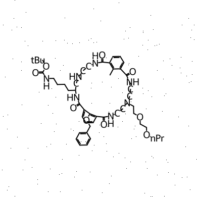 CCCOCCOCCN1CCNC(=O)c2cccc(c2C)C(=O)NCCNCC(CCCCNC(=O)OC(C)(C)C)NC(=O)c2cccc(c2OCc2ccccc2)C(=O)NCC1